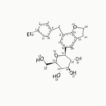 CCc1ccc(Cc2cc([C@@H]3O[C@H](CO)[C@@H](O)[C@H](O)[C@H]3O)cc3c2OCC3)cc1